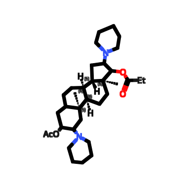 CCC(=O)OC1C(N2CCCCC2)C[C@H]2[C@@H]3CCC4CC(OC(C)=O)C(N5CCCCC5)C[C@]4(C)[C@@H]3CC[C@]12C